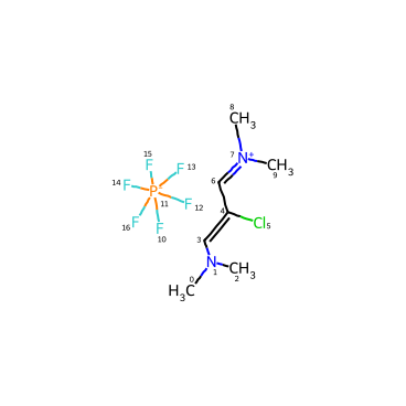 CN(C)C=C(Cl)C=[N+](C)C.F[P-](F)(F)(F)(F)F